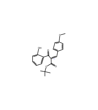 COc1ccc(/C=C(/C(=O)OC(C)(C)C)C(=O)c2ccccc2O)cc1